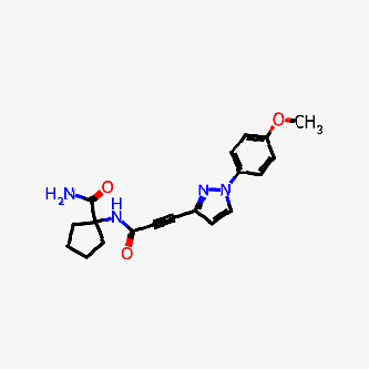 COc1ccc(-n2ccc(C#CC(=O)NC3(C(N)=O)CCCC3)n2)cc1